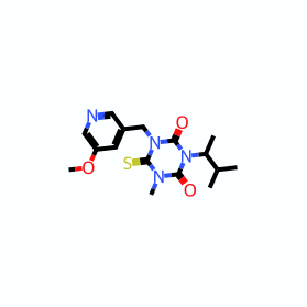 COc1cncc(Cn2c(=S)n(C)c(=O)n(C(C)C(C)C)c2=O)c1